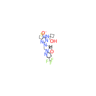 [O-][S@+]1CCc2nc(N3CCN4c5ncc(C(F)(F)F)cc5OC[C@H]4C3)nc(NC3(CO)CCC3)c21